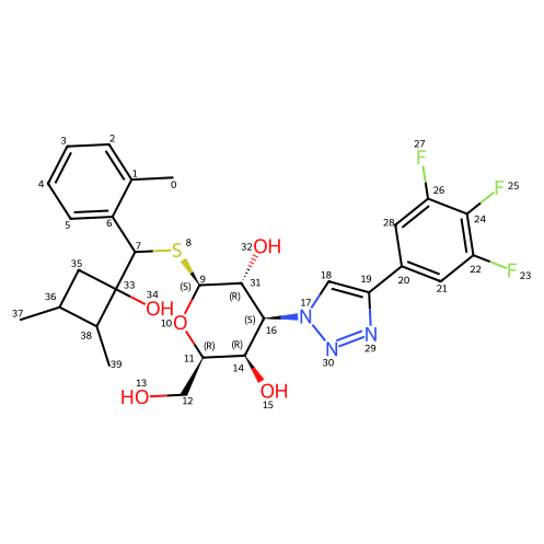 Cc1ccccc1C(S[C@@H]1O[C@H](CO)[C@H](O)[C@H](n2cc(-c3cc(F)c(F)c(F)c3)nn2)[C@H]1O)C1(O)CC(C)C1C